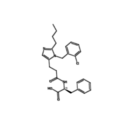 CCCCc1ncc(CCC(=O)N[C@@H](Cc2ccccc2)C(=O)O)n1Cc1ccccc1Cl